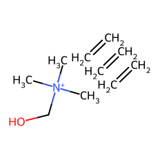 C=C.C=C.C=C.C[N+](C)(C)CO